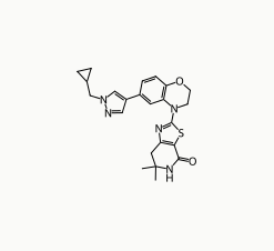 CC1(C)Cc2nc(N3CCOc4ccc(-c5cnn(CC6CC6)c5)cc43)sc2C(=O)N1